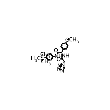 COc1ccc(C(NC(=O)Cn2cnnn2)C(=O)Nc2ccc([Si](C)(C)C)cc2)cc1